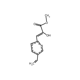 C=Cc1ccc(/C=C(\O)C(=O)OC)nc1